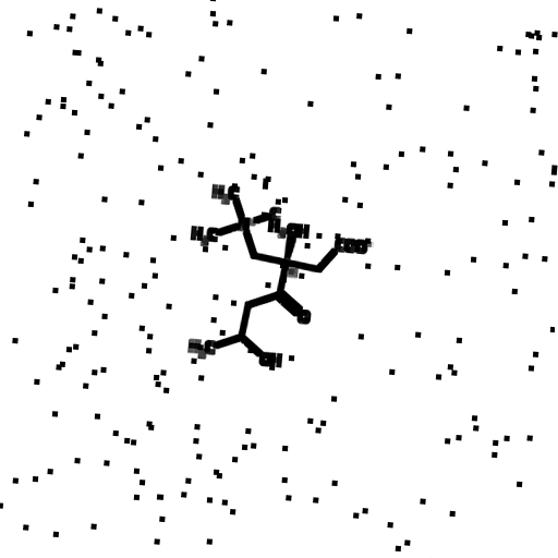 CC(O)CC(=O)[C@@](O)(CC(=O)[O-])C[N+](C)(C)C